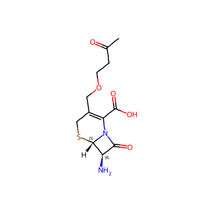 CC(=O)CCOCC1=C(C(=O)O)N2C(=O)[C@@H](N)[C@@H]2SC1